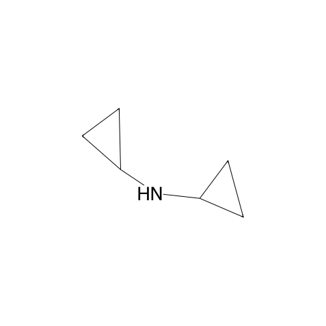 C1CC1NC1CC1